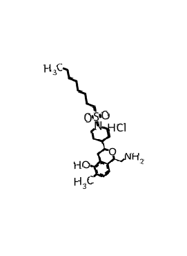 CCCCCCCCS(=O)(=O)N1CCC([C@@H]2Cc3c(ccc(C)c3O)[C@H](CN)O2)CC1.Cl